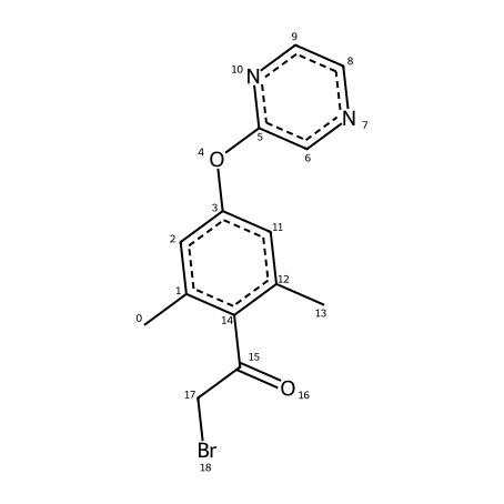 Cc1cc(Oc2cnccn2)cc(C)c1C(=O)CBr